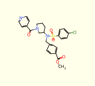 COC(=O)c1ccc(CN(C2CCCN(C(=O)c3ccncc3)C2)S(=O)(=O)c2ccc(Cl)cc2)cc1